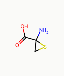 NC1(C(=O)O)CS1